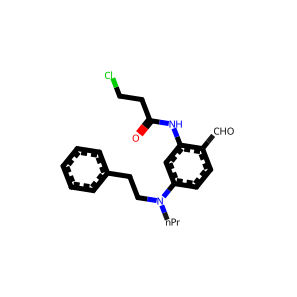 CCCN(CCc1ccccc1)c1ccc(C=O)c(NC(=O)CCCl)c1